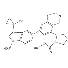 CC(C)(C)OC(=O)N1CCCC1c1cc(-c2cnc3c(c2)c(C2(C#N)CC2)cn3C(=O)O)cc2c1COCC2